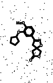 COc1ccc(C2=NOC3(COC(=O)C3)C2)cc1OC1CCCC1